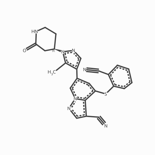 Cc1c(-c2cc(Sc3ccccc3C#N)c3c(C#N)cnn3c2)cnn1[C@@H]1CCNC(=O)C1